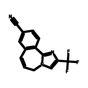 N#Cc1ccc2c(c1)C=CCn1cc(C(F)(F)F)nc1-2